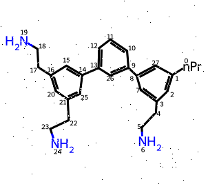 CCCc1cc(CCN)cc(-c2cccc(-c3cc(CCN)cc(CCN)c3)c2)c1